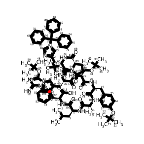 CC(C)C[C@H](NC(=O)[C@@H](C)NC(=O)[C@H](Cc1ccc(OC(C)(C)C)cc1)NC(=O)[C@H](COC(C)(C)C)NC(=O)[C@H](Cc1cn(C(=O)OC(C)(C)C)c2ccccc12)NC(=O)[C@H](Cc1cn(C(c2ccccc2)(c2ccccc2)c2ccccc2)cn1)NC(=O)[C@@H]1CCC(=O)N1C(=O)OC(C)(C)C)C(=O)N[C@@H](CCCNC(=N)N)C(=O)O